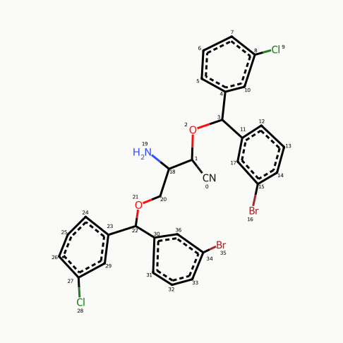 N#CC(OC(c1cccc(Cl)c1)c1cccc(Br)c1)C(N)COC(c1cccc(Cl)c1)c1cccc(Br)c1